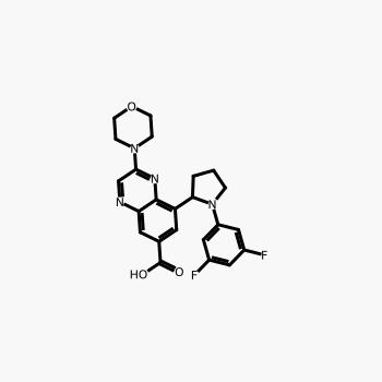 O=C(O)c1cc(C2CCCN2c2cc(F)cc(F)c2)c2nc(N3CCOCC3)cnc2c1